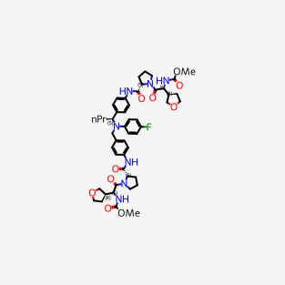 CCC[C@@H](c1ccc(NC(=O)[C@@H]2CCCN2C(=O)[C@@H](NC(=O)OC)[C@H]2CCOC2)cc1)N(Cc1ccc(NC(=O)[C@@H]2CCCN2C(=O)[C@@H](NC(=O)OC)[C@H]2CCOC2)cc1)c1ccc(F)cc1